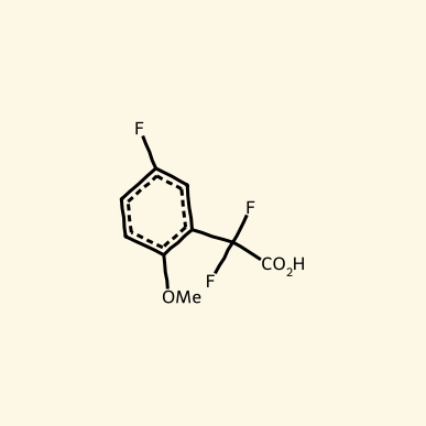 COc1ccc(F)cc1C(F)(F)C(=O)O